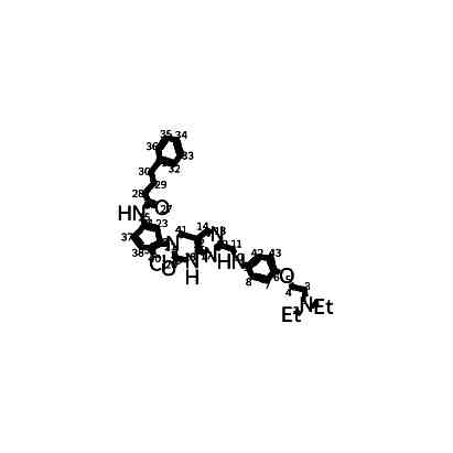 CCN(CC)CCOc1ccc(NCc2ncc3c(n2)NC(=O)N(c2cc(NC(=O)CCCc4ccccc4)ccc2Cl)C3)cc1